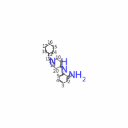 Nc1ccccc1NC1CCN(CC2CCCCC2)CC1